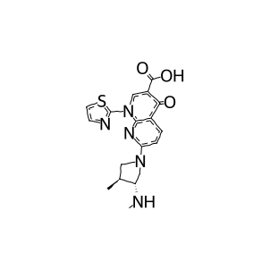 CN[C@H]1CN(c2ccc3c(=O)c(C(=O)O)cn(-c4nccs4)c3n2)C[C@@H]1C